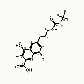 Cc1c(C(=O)O)nc2c(O)cc(CCCNC(=O)OC(C)(C)C)cc2c1O